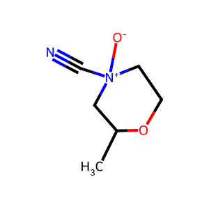 CC1C[N+]([O-])(C#N)CCO1